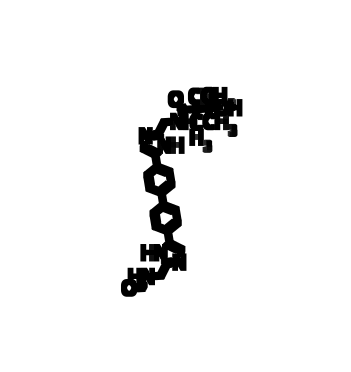 CC(C)(O)C(C)(C)C(=O)NCc1ncc(-c2ccc(-c3ccc(-c4cnc(CNC=O)[nH]4)cc3)cc2)[nH]1